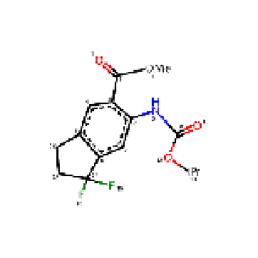 COC(=O)c1cc2c(cc1NC(=O)OC(C)C)C(F)(F)CC2